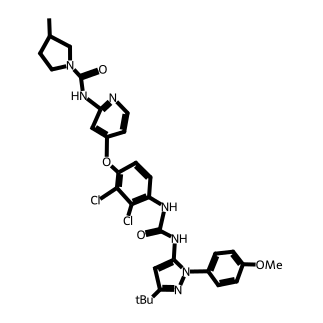 COc1ccc(-n2nc(C(C)(C)C)cc2NC(=O)Nc2ccc(Oc3ccnc(NC(=O)N4CCC(C)C4)c3)c(Cl)c2Cl)cc1